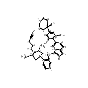 C[C@H]1CN(c2ccncc2Nc2ncc3ccc(-c4c(F)cc(C5(F)CCOCC5)cc4F)nn23)C[C@@H](N)[C@H]1OCCC#N